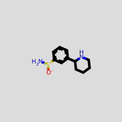 N[S+]([O-])c1cccc(C2CCCCN2)c1